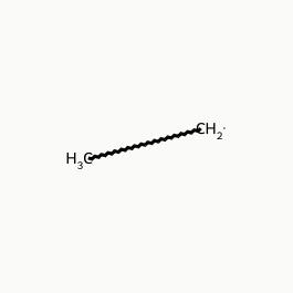 [CH2]CCCCCCCCCCCCCCCCCCCCCCCCCCCCCCCCCC